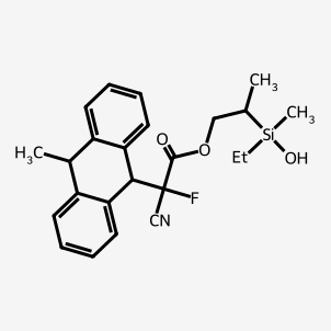 CC[Si](C)(O)C(C)COC(=O)C(F)(C#N)C1c2ccccc2C(C)c2ccccc21